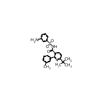 Cc1cccc(-c2nc(C(C)(C)C)ccc2C(=O)NS(=O)(=O)c2cccc(N)c2)c1